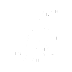 CCC(=O)O[C@H]1[C@H]2C(=C(O)[C@]3(O)C(=O)C(C(N)=O)=C(O)C[C@H]13)C(=O)c1c(ccc([N+](=O)O)c1O)[C@@H]2C